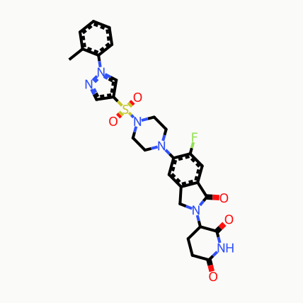 Cc1ccccc1-n1cc(S(=O)(=O)N2CCN(c3cc4c(cc3F)C(=O)N(C3CCC(=O)NC3=O)C4)CC2)cn1